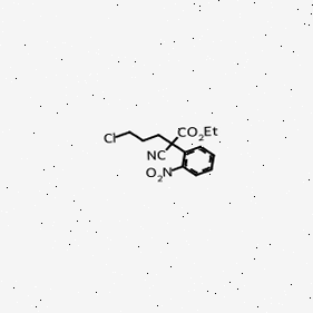 CCOC(=O)C(C#N)(CCCCl)c1ccccc1[N+](=O)[O-]